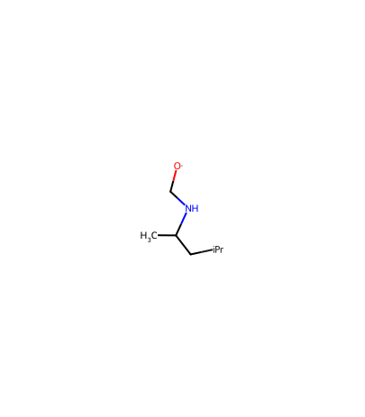 CC(C)CC(C)NC[O]